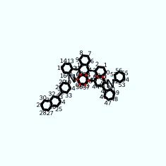 c1ccc(-c2c3ccccc3c(-c3ccccc3N(c3ccc(-c4ccc5ccccc5c4)cc3)c3ccc(-c4ccc5c(c4)c4ccccc4n5-c4ccccc4)cc3)c3ccccc23)cc1